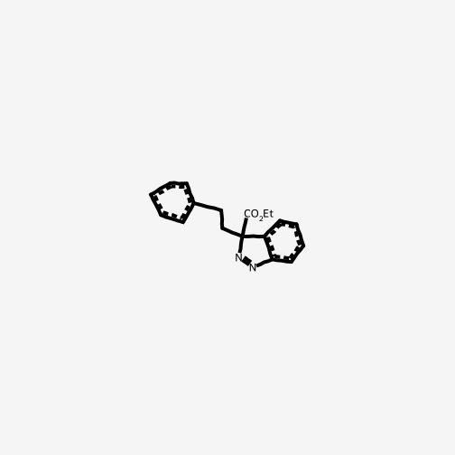 CCOC(=O)C1(CCc2ccccc2)N=Nc2ccccc21